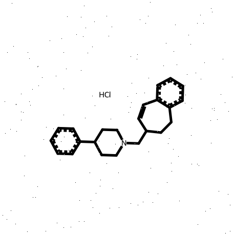 C1=CC(CN2CCC(c3ccccc3)CC2)CCc2ccccc21.Cl